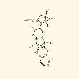 C[C@@H](CN1C[C@@H]2C[C@H]1C(=O)N2Cc1cccc(F)c1)C(=O)N1[C@H](C#N)C[C@@H]2C[C@@H]21